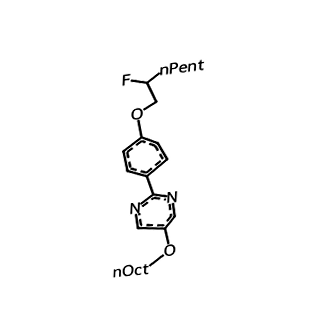 CCCCCCCCOc1cnc(-c2ccc(OCC(F)CCCCC)cc2)nc1